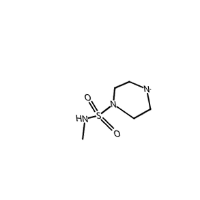 CNS(=O)(=O)N1CC[N]CC1